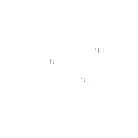 Cc1nc2cc[nH]c2nc1C